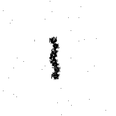 c1ncc(-c2ccc(-c3cc4cc5c(cc4s3)sc3cc4sc(-c6ccc(-c7cncnc7)s6)cc4cc35)s2)cn1